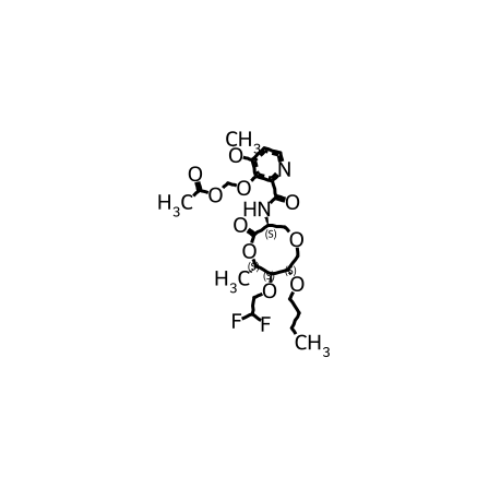 CCCCO[C@H]1COC[C@H](NC(=O)c2nccc(OC)c2OCOC(C)=O)C(=O)O[C@@H](C)[C@@H]1OCC(F)F